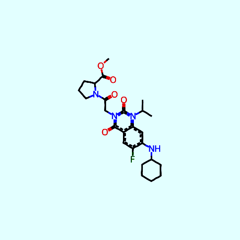 COC(=O)C1CCCN1C(=O)Cn1c(=O)c2cc(F)c(NC3CCCCC3)cc2n(C(C)C)c1=O